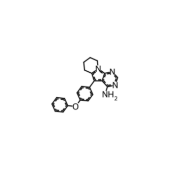 Nc1ncnc2c1c(-c1ccc(Oc3ccccc3)cc1)c1n2CCCC1